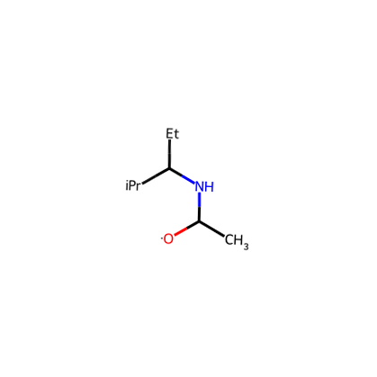 CCC(NC(C)[O])C(C)C